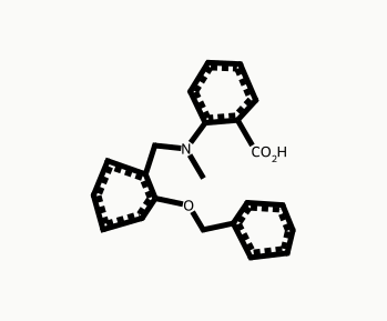 CN(Cc1ccccc1OCc1ccccc1)c1ccccc1C(=O)O